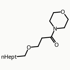 CCCCCCCCOCCC(=O)N1CCOCC1